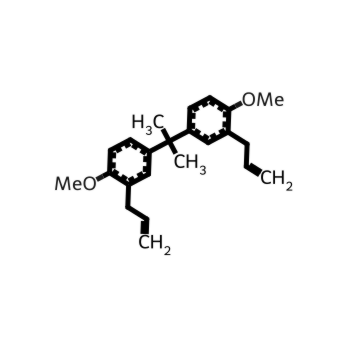 C=CCc1cc(C(C)(C)c2ccc(OC)c(CC=C)c2)ccc1OC